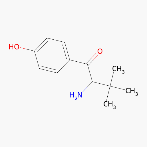 CC(C)(C)C(N)C(=O)c1ccc(O)cc1